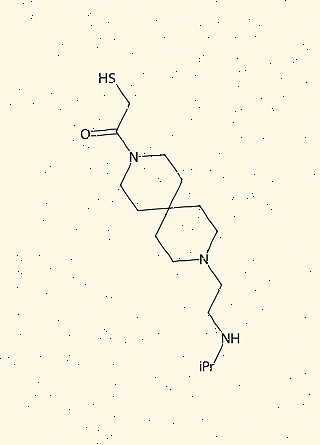 CC(C)NCCN1CCC2(CC1)CCN(C(=O)CS)CC2